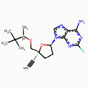 C#C[C@@]1(CO[SiH](C)C(C)(C)C)CC[C@H](n2cnc3c(N)nc(F)nc32)O1